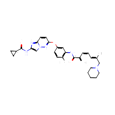 C=C(/C=C\C=C(/C)CN1CCCCC1)C(=O)Nc1cc(Oc2ccc3nc(NC(=O)C4CC4)cn3n2)ccc1C